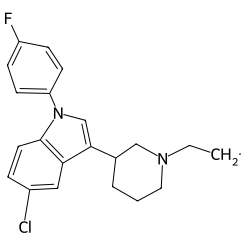 [CH2]CN1CCCC(c2cn(-c3ccc(F)cc3)c3ccc(Cl)cc23)C1